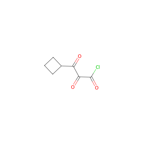 O=C(Cl)C(=O)C(=O)C1CCC1